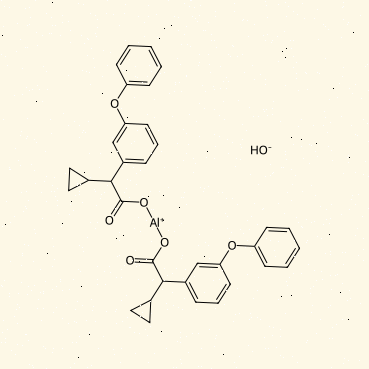 O=C([O][Al+][O]C(=O)C(c1cccc(Oc2ccccc2)c1)C1CC1)C(c1cccc(Oc2ccccc2)c1)C1CC1.[OH-]